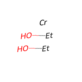 CCO.CCO.[Cr]